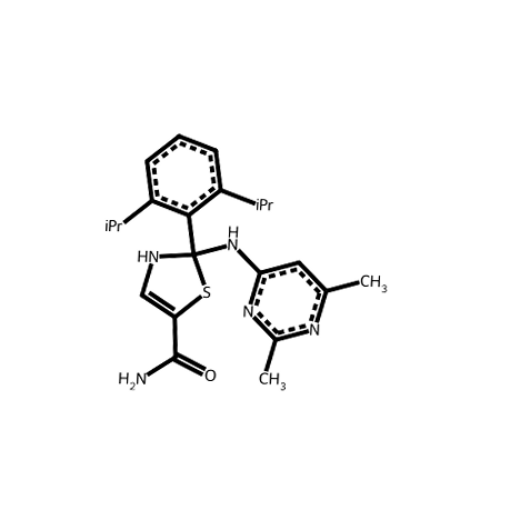 Cc1cc(NC2(c3c(C(C)C)cccc3C(C)C)NC=C(C(N)=O)S2)nc(C)n1